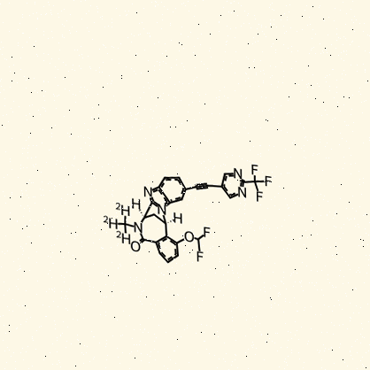 [2H]C([2H])([2H])N1C(=O)c2cccc(OC(F)F)c2[C@H]2C[C@@H]1c1nc3ccc(C#Cc4cnc(C(F)(F)F)nc4)cc3n12